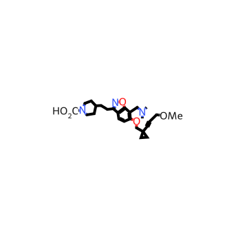 COCC#CC1(COc2ccc3c(CCC4CCN(C(=O)O)CC4)noc3c2CN(C)C)CC1